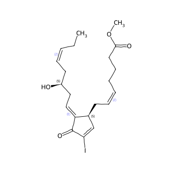 CC/C=C\C[C@H](O)C/C=C1/C(=O)C(I)=C[C@@H]1C/C=C\CCCC(=O)OC